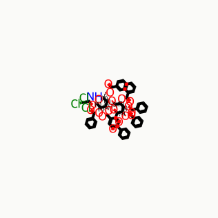 N=C(O[C@@H]1O[C@H](COC(=O)c2ccccc2)[C@@H](O[C@@H]2OC(COC(=O)c3ccccc3)[C@H](OC(=O)c3ccccc3)[C@H](OC(=O)c3ccccc3)[C@H]2OC(=O)c2ccccc2)[C@H](OC(=O)c2ccccc2)[C@H]1OC(=O)c1ccccc1)C(Cl)(Cl)Cl